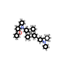 c1ccc(N2c3ccc(-c4ccc([Si](c5ccccc5)(c5ccccc5)c5ccc(-n6c7ccccc7c7ccc8c9ccccc9oc8c76)cc5)cc4)cc3C3CCCCC32)cc1